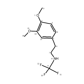 COc1ccc(CCNC(F)(F)F)cc1OC